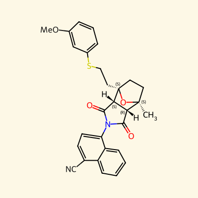 COc1cccc(SCC[C@]23CC[C@](C)(O2)[C@@H]2C(=O)N(c4ccc(C#N)c5ccccc45)C(=O)[C@@H]23)c1